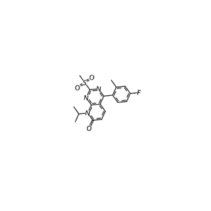 Cc1cc(F)ccc1-c1nc(S(C)(=O)=O)nc2c1ccc(=O)n2C(C)C